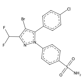 NS(=O)(=O)c1ccc(-n2nc(C(F)F)c(Br)c2-c2ccc(Cl)cc2)cc1